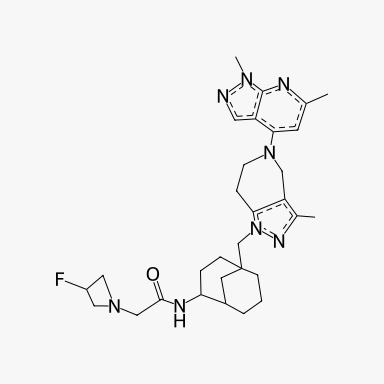 Cc1cc(N2CCc3c(c(C)nn3CC34CCCC(C3)C(NC(=O)CN3CC(F)C3)CC4)C2)c2cnn(C)c2n1